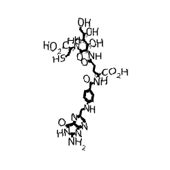 Nc1nc2ncc(CNc3ccc(C(=O)N[C@@H](CCC(=O)N[C@H](C(=O)N[C@@H](CS)C(=O)O)[C@@H](O)[C@H](O)[C@H](O)CO)C(=O)O)cc3)nc2c(=O)[nH]1